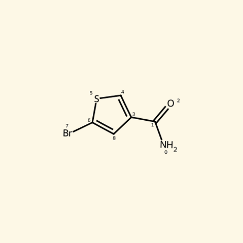 NC(=O)c1csc(Br)c1